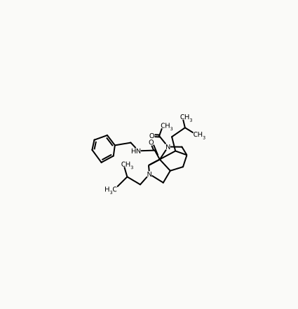 CC(=O)N1CC2CC3CN(CC(C)C)C(C2CC(C)C)C31C(=O)NCc1ccccc1